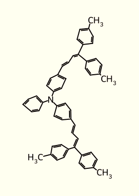 Cc1ccc(C(=CC=Cc2ccc(N(c3ccccc3)c3ccc(C=CC=C(c4ccc(C)cc4)c4ccc(C)cc4)cc3)cc2)c2ccc(C)cc2)cc1